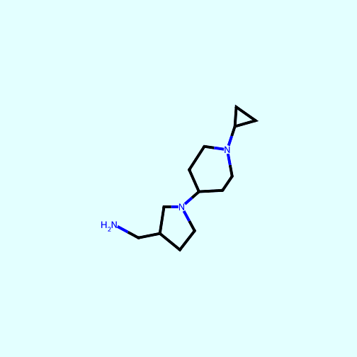 NCC1CCN(C2CCN(C3CC3)CC2)C1